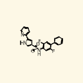 O=S(=O)(Nc1cc(F)c(-c2ccccc2)cc1F)c1c[nH]c(-c2ccccn2)c1